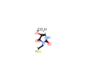 O=C(O)Oc1c[nH]c(=O)n(CCS)c1=O